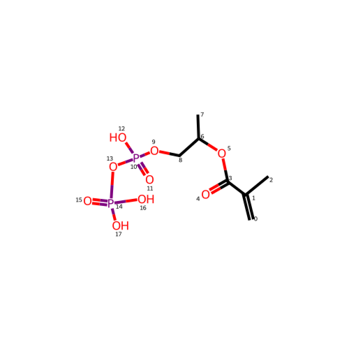 C=C(C)C(=O)OC(C)COP(=O)(O)OP(=O)(O)O